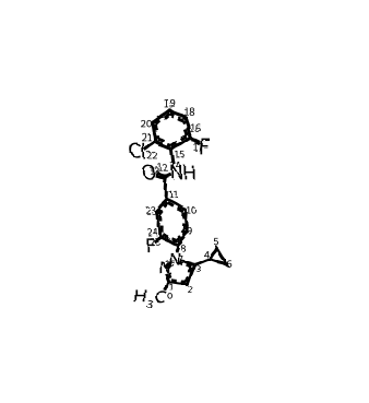 Cc1cc(C2CC2)n(-c2ccc(C(=O)Nc3c(F)cccc3Cl)cc2F)n1